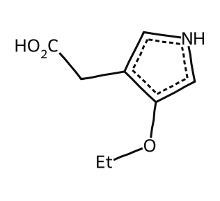 CCOc1c[nH]cc1CC(=O)O